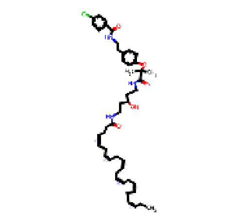 CC/C=C\C/C=C\C/C=C\C/C=C\C/C=C\C/C=C\CCC(=O)NCCC(O)CCNC(=O)C(C)(C)Oc1ccc(CCNC(=O)c2ccc(Cl)cc2)cc1